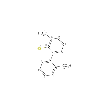 O=C(O)c1ccccc1-c1cccc(C(=O)O)c1S